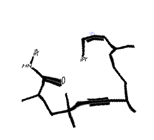 CC(C)/C=C\C(C)CCC(C)C#CC(C)(C)CC(C)C(=O)NC(C)C